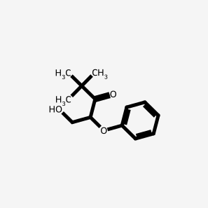 CC(C)(C)C(=O)C(CO)Oc1ccccc1